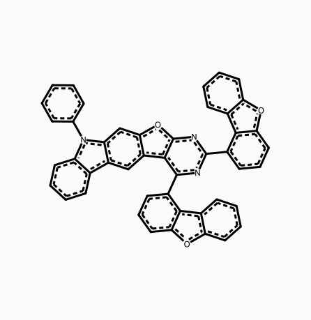 c1ccc(-n2c3ccccc3c3cc4c(cc32)oc2nc(-c3cccc5oc6ccccc6c35)nc(-c3cccc5oc6ccccc6c35)c24)cc1